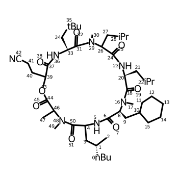 CCCC[C@@H](C)CC1NC(=O)[C@H](CC2CCCCC2)N(C)C(=O)[C@H](CC(C)C)NC(=O)C(CC(C)C)N(C)C(=O)[C@H](CC(C)(C)C)NC(=O)C(CCC#N)OC(=O)C(C)N(C)C1=O